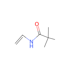 C=CNC(=O)C(C)(C)C